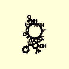 CC[C@H]1OC(=O)C(C)C(=O)[C@H](C)[C@@H](O[C@@H]2O[C@H]([C@@H](C)N3CCCCC3)CC(N(C)C)[C@H]2O)[C@](C)(OC)C[C@@H](C)CN[C@H](C)[C@@H](NC=O)[C@]1(C)OC